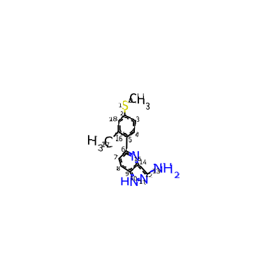 CSc1ccc(-c2ccc3[nH]nc(N)c3n2)c(C)c1